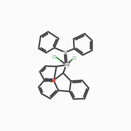 [Cl][Hf]([Cl])([CH]1C=CC=C1)([CH]1c2ccccc2-c2ccccc21)=[Si](c1ccccc1)c1ccccc1